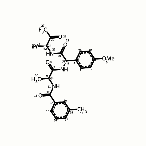 COc1ccc([C@H](NC(=O)[C@H](C)NC(=O)c2cccc(C)c2)C(=O)N[C@H](C(=O)C(F)(F)F)C(C)C)cc1